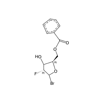 O=C(OC[C@H]1OC(Br)[C@H](F)C1O)c1ccccc1